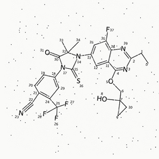 CCc1nc(OCC2(O)CC2)c2cc(N3C(=S)N(c4ccc(C#N)c(C(F)(F)F)c4)C(=O)C3(C)C)cc(F)c2n1